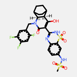 CS(=O)(=O)Nc1ccc2c(c1)S(=O)(=O)NC(C1=C(O)[C@@H]3C4CCC(CC4)[C@@H]3N(Cc3cc(F)c(F)cc3F)C1=O)=N2